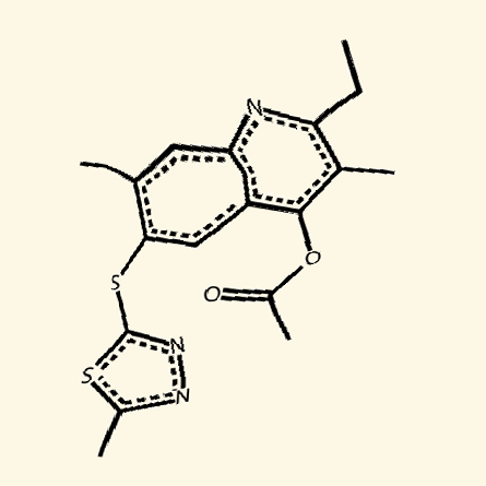 CCc1nc2cc(C)c(Sc3nnc(C)s3)cc2c(OC(C)=O)c1C